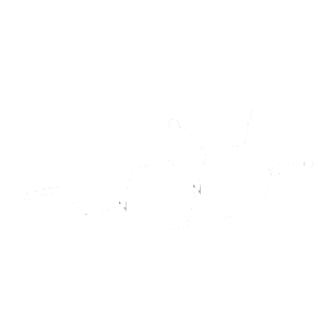 C=CCN1CC[N+]2(CC1)CC(C)C(=O)C(C)C2Cl